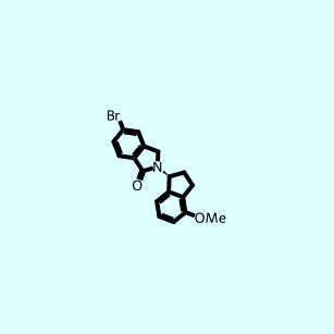 COc1cccc2c1CC[C@H]2N1Cc2cc(Br)ccc2C1=O